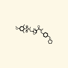 COc1cc(C)c(S(=O)(=O)N(C)Cc2nc(C(=O)N(C)Cc3ccc(CN4CCCC4)cc3)co2)c(C)c1